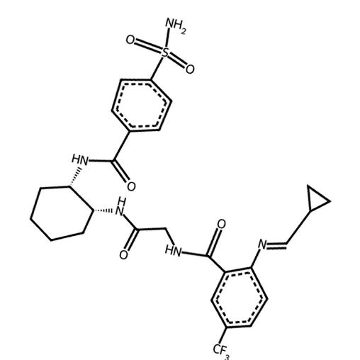 NS(=O)(=O)c1ccc(C(=O)N[C@H]2CCCC[C@H]2NC(=O)CNC(=O)c2cc(C(F)(F)F)ccc2N=CC2CC2)cc1